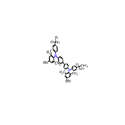 CCCC(C)(CC)c1ccc(N(c2ccc(-c3ccc(N(c4ccc(C(C)(CC)CC)cc4)c4c(C)cc(C(C)(C)C)cc4C)cc3)cc2)c2c(C)cc(C(C)(C)C)cc2C)cc1